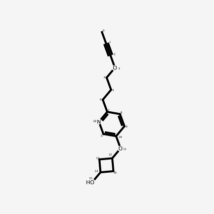 CC#COCCCc1ccc(OC2CC(O)C2)cn1